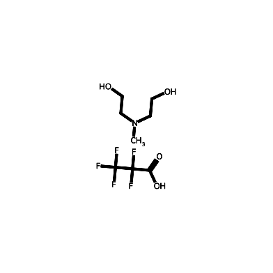 CN(CCO)CCO.O=C(O)C(F)(F)C(F)(F)F